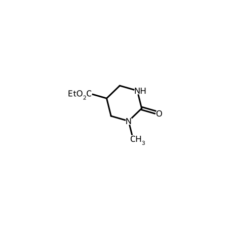 CCOC(=O)C1CNC(=O)N(C)C1